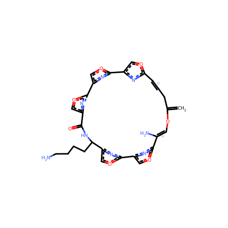 C=C1C/C=C/c2nc(co2)-c2nc(co2)-c2nc(co2)C(=O)NC(CCCCN)c2coc(n2)-c2coc(n2)/C(N)=C/O1